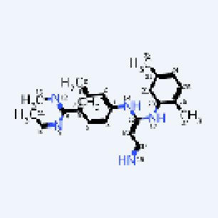 C=C/C=C(\C=C/C(=C)C(/N=C\C)=N/C)N/C(=C/C=N)NC1CC(C)=CC=C1C